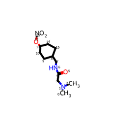 CN(C)CC(=O)NCC1CCC(O[N+](=O)[O-])CC1